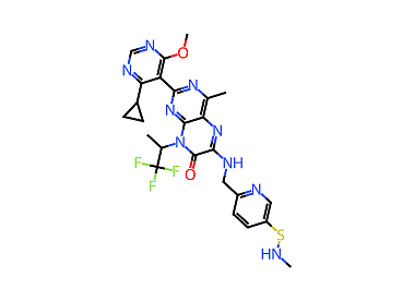 CNSc1ccc(CNc2nc3c(C)nc(-c4c(OC)ncnc4C4CC4)nc3n(C(C)C(F)(F)F)c2=O)nc1